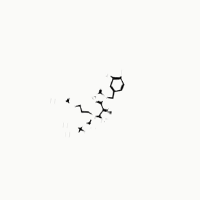 CC(=S)OCCCN(C(=O)OC(C)(C)C)c1nonc1-c1noc(=O)n1Cc1ccc(F)c(Br)c1